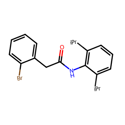 CC(C)c1cccc(C(C)C)c1NC(=O)Cc1ccccc1Br